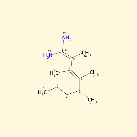 CCCC(C)C(C)=C(C)C(C)=C(N)N